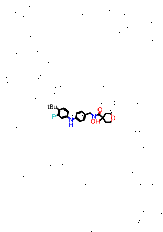 CC1(C(=O)N(O)Cc2ccc(Nc3ccc(C(C)(C)C)c(F)c3)cc2)CCOCC1